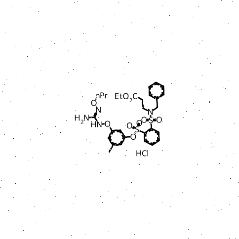 CCCON=C(N)NOc1cc(C)cc(OS(=O)(=O)c2ccccc2S(=O)(=O)N(CCC(=O)OCC)Cc2ccccc2)c1.Cl